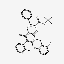 Cc1c(-c2ccccc2F)c(=O)n(C[C@@H](NC(=O)OC(C)(C)C)c2ccccc2)c(=O)n1Cc1c(F)cccc1F